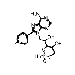 Nc1ncnc2c1nc(-c1ccc(F)cc1)n2CC(O)C1OP(=O)(S)OCC1O